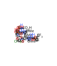 C#CC(C)Oc1cc(N2C(=O)C3=C(CCCC3)C2=O)c(F)cc1Cl.CCS(=O)(=O)c1cccnc1S(=O)(=O)NC(=O)Nc1nc(OC)cc(OC)n1.COc1nc(C)nc(NC(=O)NS(=O)(=O)c2ccccc2CCC(F)(F)F)n1.O=C(O)CNCP(=O)(O)O